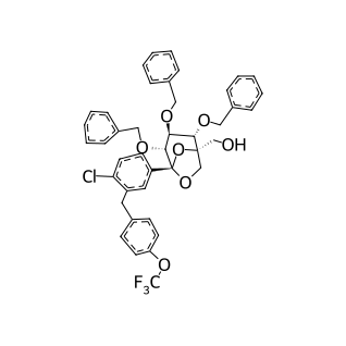 OC[C@]12CO[C@@](c3ccc(Cl)c(Cc4ccc(OC(F)(F)F)cc4)c3)(O1)[C@H](OCc1ccccc1)[C@@H](OCc1ccccc1)[C@@H]2OCc1ccccc1